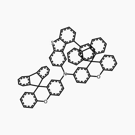 c1ccc(-c2cccc3sc4ccc(N(c5ccc6c(c5)C5(c7ccccc7O6)c6ccccc6-c6ccccc65)c5ccc6c(c5)C5(c7ccccc7O6)c6ccccc6-c6ccccc65)cc4c23)cc1